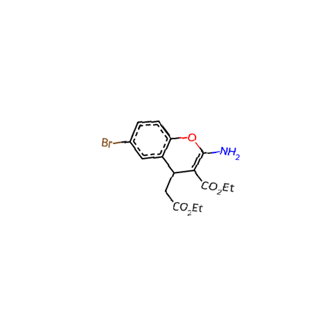 CCOC(=O)CC1C(C(=O)OCC)=C(N)Oc2ccc(Br)cc21